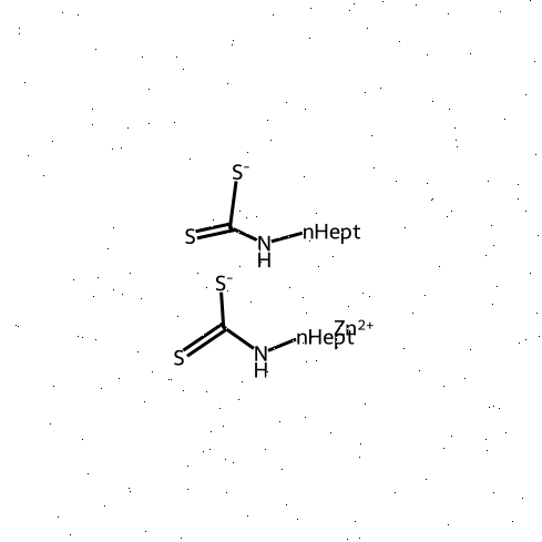 CCCCCCCNC(=S)[S-].CCCCCCCNC(=S)[S-].[Zn+2]